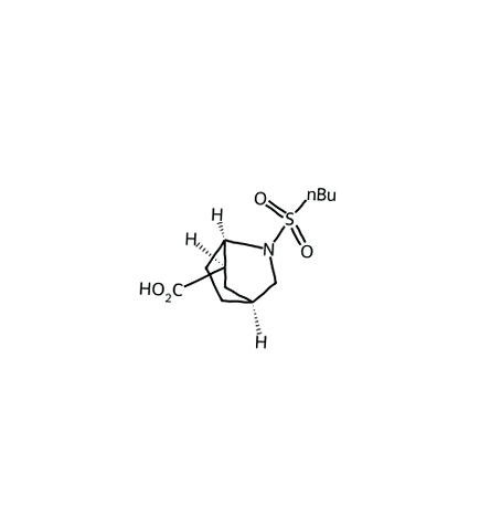 CCCCS(=O)(=O)N1C[C@H]2CC[C@@H]1[C@H](C(=O)O)C2